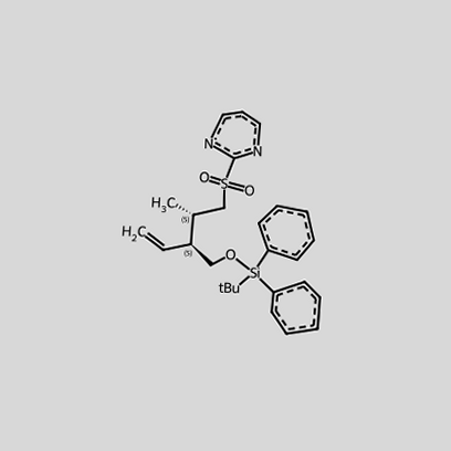 C=C[C@H](CO[Si](c1ccccc1)(c1ccccc1)C(C)(C)C)[C@H](C)CS(=O)(=O)c1ncccn1